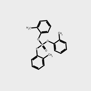 Cc1ccccc1OP(=O)(Oc1ccccc1C)Sc1ccccc1C